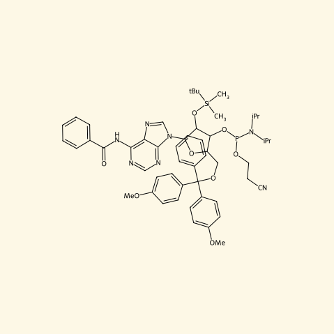 COc1ccc(C(OCC2OC(n3cnc4c(NC(=O)c5ccccc5)ncnc43)C(O[Si](C)(C)C(C)(C)C)C2OP(OCCC#N)N(C(C)C)C(C)C)(c2ccccc2)c2ccc(OC)cc2)cc1